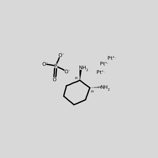 N[C@@H]1CCCC[C@H]1N.O=P([O-])([O-])[O-].[Pt+].[Pt+].[Pt+]